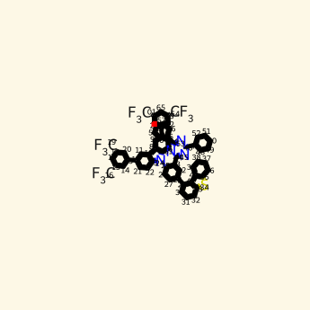 FC(F)(F)c1cc(-c2ccc3c(c2)c2cc(-c4cc(C(F)(F)F)cc(C(F)(F)F)c4)ccc2n3-c2ccc(-c3cccc4sc5ccccc5c34)cc2-c2nc(-c3ccccc3)nc(-c3ccccc3)n2)cc(C(F)(F)F)c1